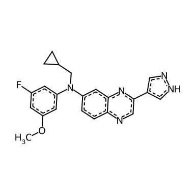 COc1cc(F)cc(N(CC2CC2)c2ccc3ncc(-c4cn[nH]c4)nc3c2)c1